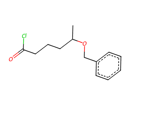 CC(CCCC(=O)Cl)OCc1ccccc1